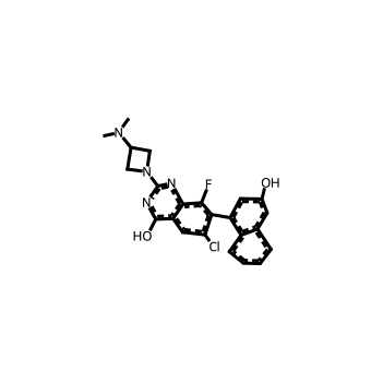 CN(C)C1CN(c2nc(O)c3cc(Cl)c(-c4cc(O)cc5ccccc45)c(F)c3n2)C1